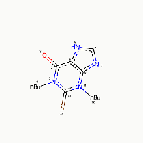 CCCCn1c(=O)c2[nH]cnc2n(CCCC)c1=S